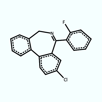 Fc1ccccc1C1=NCc2ccccc2-c2ccc(Cl)cc21